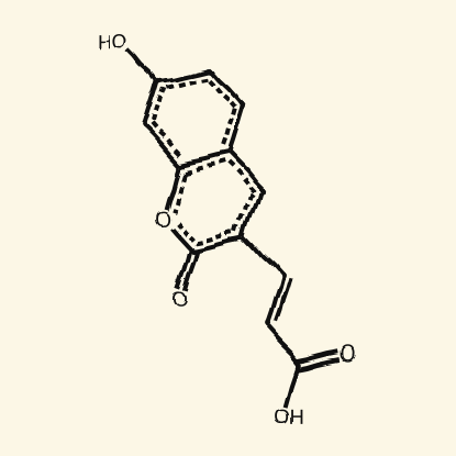 O=C(O)/C=C/c1cc2ccc(O)cc2oc1=O